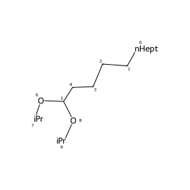 CCCCCCCCCCCC(OC(C)C)OC(C)C